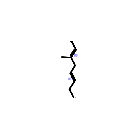 [CH2]/C=C(\C)C/C=C/C[CH2]